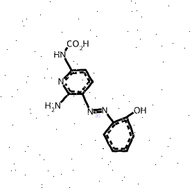 Nc1nc(NC(=O)O)ccc1/N=N/c1ccccc1O